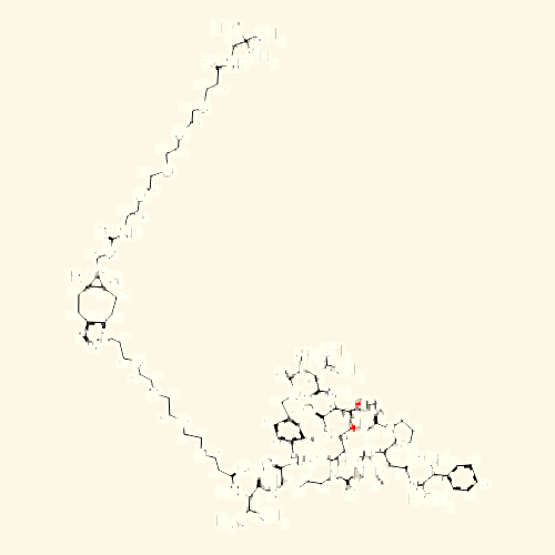 CC[C@H](C)[C@@H]([C@@H](CC(=O)N1CCC[C@H]1[C@H](OC)[C@@H](C)C(=O)N[C@H](C)[C@@H](O)c1ccccc1)OC)N(C)C(=O)[C@@H](NC(=O)[C@H](C(C)C)N(C)C(=O)OCc1ccc(NC(=O)[C@H](CCCNC(N)=O)NC(=O)[C@@H](NC(=O)CCOCCOCCOCCOCCn2nnc3c2CC[C@H]2[C@@H](CC3)[C@H]2COC(=O)NCCOCCOCCOCCOCCC(=O)NCC(C)(C)C)C(C)C)cc1)C(C)C